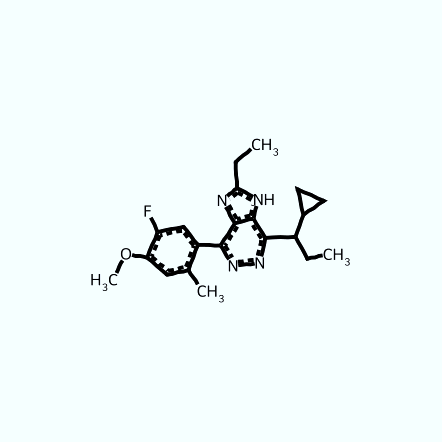 CCc1nc2c(-c3cc(F)c(OC)cc3C)nnc(C(CC)C3CC3)c2[nH]1